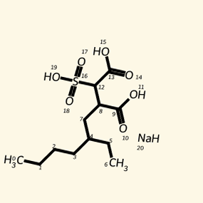 CCCCC(CC)CC(C(=O)O)C(C(=O)O)S(=O)(=O)O.[NaH]